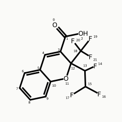 O=C(O)C1=Cc2ccccc2OC1(C(F)C(F)F)C(F)(F)F